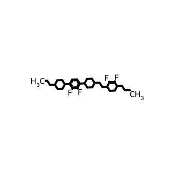 CCCCC1CCC(CCC2CCC(c3ccc(C4CCC(CCC)CC4)c(F)c3F)CC2)C(F)=C1F